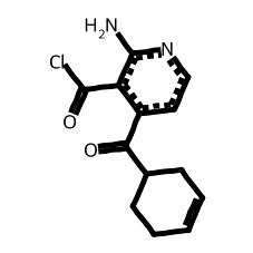 Nc1nccc(C(=O)C2CC=CCC2)c1C(=O)Cl